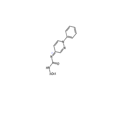 CCCCCCCCNC(=O)/N=c1/ccn(-c2ccccc2)nc1